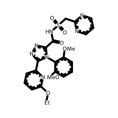 CCOc1cccc(-c2nnc(C(=O)NS(=O)(=O)Cc3ncccn3)n2-c2c(OC)cccc2OC)n1